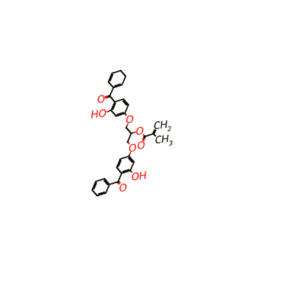 C=C(C)C(=O)OC(COc1ccc(C(=O)C2=CCCC=C2)c(O)c1)COc1ccc(C(=O)c2ccccc2)c(O)c1